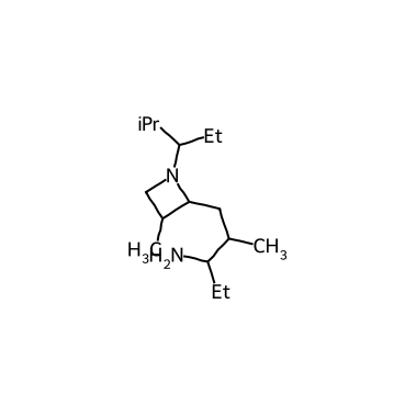 CCC(N)C(C)CC1C(C)CN1C(CC)C(C)C